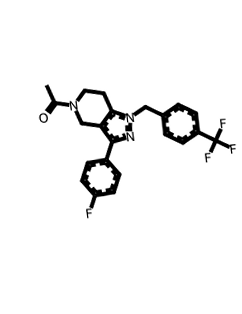 CC(=O)N1CCc2c(c(-c3ccc(F)cc3)nn2Cc2ccc(C(F)(F)F)cc2)C1